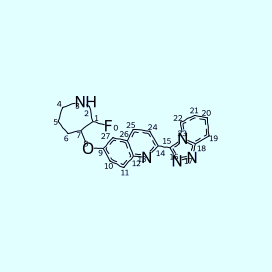 FC1CNCCCC1Oc1ccc2nc(-c3nnc4ccccn34)ccc2c1